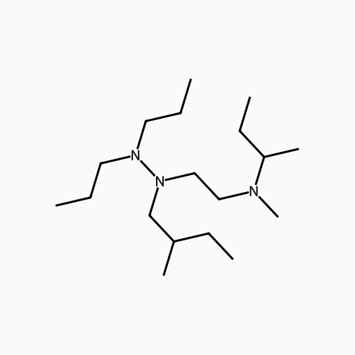 CCCN(CCC)N(CCN(C)C(C)CC)CC(C)CC